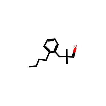 CCCCc1ccccc1CC(C)(C)C=O